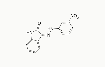 O=C1Nc2ccccc2/C1=N/Nc1cccc([N+](=O)[O-])c1